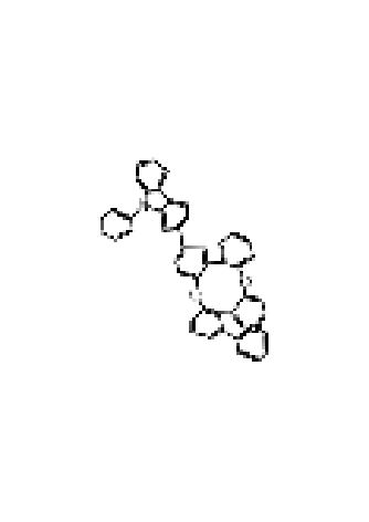 c1ccc(-c2cccc3c2-c2ccccc2Oc2ccccc2-c2cc(-c4ccc5c6ccccc6n(-c6ccccc6)c5c4)ccc2O3)cc1